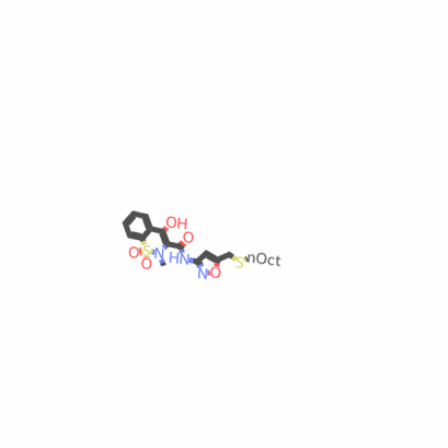 CCCCCCCCSCc1cc(NC(=O)C2=C(O)c3ccccc3S(=O)(=O)N2C)no1